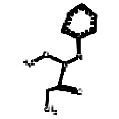 CCC(=O)N(Nc1ccccc1)OC